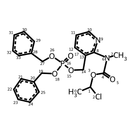 CC(Cl)OC(=O)N(C)c1ncccc1COP(=O)(OCc1ccccc1)OCc1ccccc1